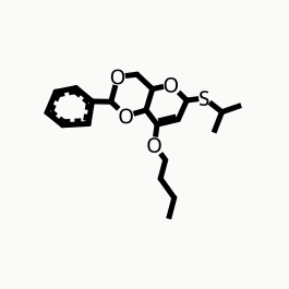 CCCCOC1=CC(SC(C)C)OC2COC(c3ccccc3)OC12